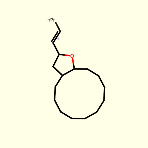 CCC/C=C/C1CC2CCCCCCCCCCC2O1